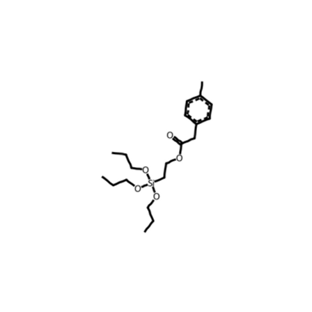 CCCO[Si](CCOC(=O)Cc1ccc(C)cc1)(OCCC)OCCC